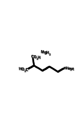 CCCCCCCCCCC(C(=O)O)C(=O)O.[MgH2]